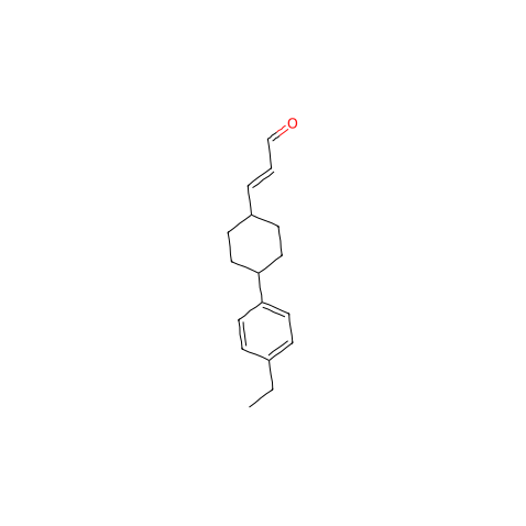 CCc1ccc(C2CCC(C=CC=O)CC2)cc1